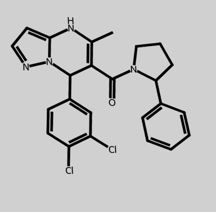 CC1=C(C(=O)N2CCCC2c2ccccc2)C(c2ccc(Cl)c(Cl)c2)n2nccc2N1